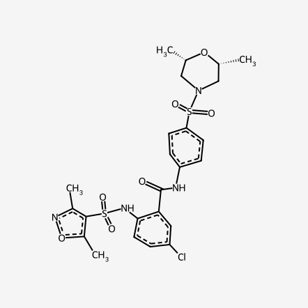 Cc1noc(C)c1S(=O)(=O)Nc1ccc(Cl)cc1C(=O)Nc1ccc(S(=O)(=O)N2C[C@@H](C)O[C@@H](C)C2)cc1